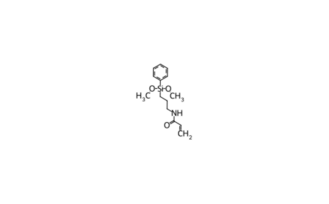 C=CC(=O)NCCC[Si](OC)(OC)c1ccccc1